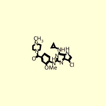 COc1cc(C(=O)N2CCN(C)CC2)ccc1Nc1nc(NC2CC2)c2[nH]cc(Cl)c2n1